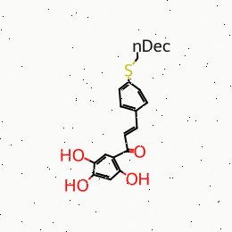 CCCCCCCCCCCSc1ccc(C=CC(=O)c2cc(O)c(O)cc2O)cc1